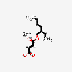 CCCCC(CC)COC(=O)C=CC(=O)[O-].[Zn+]